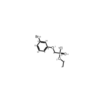 CCOP(=O)(Cl)COc1cccc(Br)c1